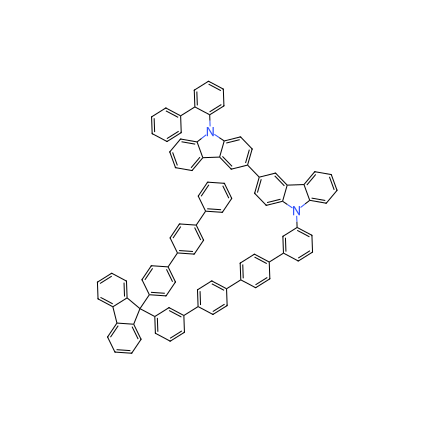 c1ccc(-c2ccc(-c3ccc(C4(c5cccc(-c6ccc(-c7ccc(-c8cccc(-n9c%10ccccc%10c%10cc(-c%11ccc%12c(c%11)c%11ccccc%11n%12-c%11ccccc%11-c%11ccccc%11)ccc%109)c8)cc7)cc6)c5)c5ccccc5-c5ccccc54)cc3)cc2)cc1